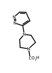 O=C(O)N1CCN(c2cccnn2)CC1